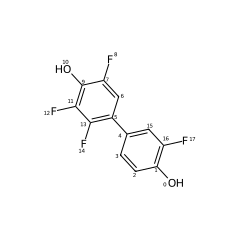 Oc1ccc(-c2cc(F)c(O)c(F)c2F)cc1F